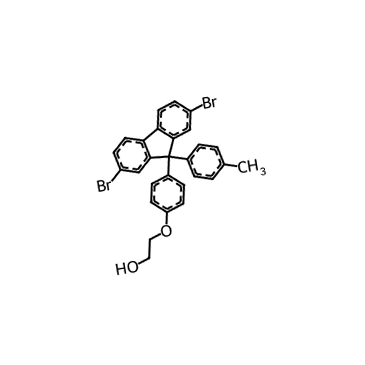 Cc1ccc(C2(c3ccc(OCCO)cc3)c3cc(Br)ccc3-c3ccc(Br)cc32)cc1